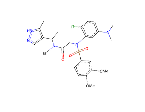 CCN(C(=O)CN(c1cc(N(C)C)ccc1Cl)S(=O)(=O)c1ccc(OC)c(OC)c1)C(C)c1cn[nH]c1C